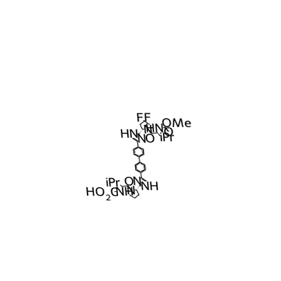 COC(=O)N[C@H](C(=O)N1CC(F)(F)C[C@H]1c1nc(-c2ccc(-c3ccc(-c4c[nH]c([C@@H]5CCCN5C(=O)[C@@H](NC(=O)O)C(C)C)n4)cc3)cc2)c[nH]1)C(C)C